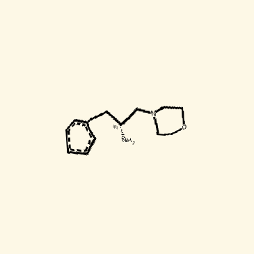 N[C@H](Cc1ccccc1)CN1CCOCC1